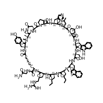 CCCC[C@H]1C(=O)N(C)[C@@H](CCCC)C(=O)N[C@@H](CCCNC(=N)N)C(=O)NC(C(=O)NCC(N)=O)CCSCC(=O)N[C@@H](Cc2ccc(O)cc2)C(=O)N(C)[C@@H](C)C(=O)N[C@@H](CC(N)=O)C(=O)N2CCC[C@H]2C(=O)N[C@@H](Cc2cnc[nH]2)C(=O)N[C@@H](CC(C)C)C(=O)N2C[C@H](O)C[C@H]2C(=O)N[C@@H](Cc2c[nH]c3ccccc23)C(=O)N[C@@H](CO)C(=O)N[C@@H](Cc2csc3ccccc23)C(=O)N1C